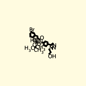 CC(C)(C)OC(=O)NC(Cc1cc(Br)ccc1Cl)C(=O)Nc1ccc(-c2cnnn2CCCO)cc1